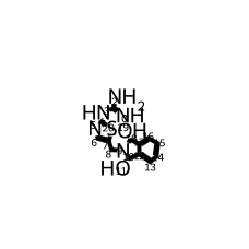 N=C(N)Nc1ncc(CN2C(O)c3ccccc3C2O)s1